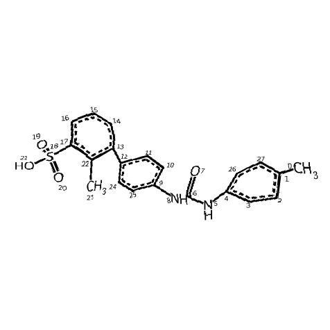 Cc1ccc(NC(=O)Nc2ccc(-c3cccc(S(=O)(=O)O)c3C)cc2)cc1